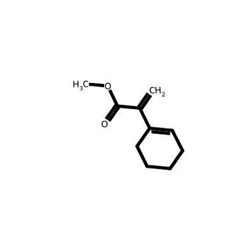 C=C(C(=O)OC)C1=CCCCC1